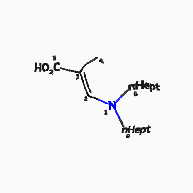 CCCCCCCN(/C=C(\C)C(=O)O)CCCCCCC